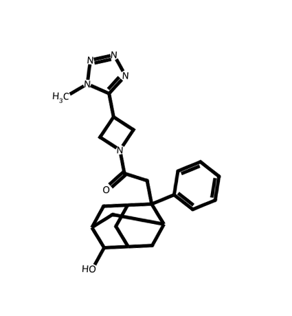 Cn1nnnc1C1CN(C(=O)CC2(c3ccccc3)C3CC4CC2CC(C3)C4O)C1